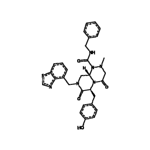 CN1CC(=O)N2[C@@H](Cc3ccc(O)cc3)C(=O)N(Cc3cccc4scnc34)C[C@@H]2N1C(=O)NCc1ccccc1